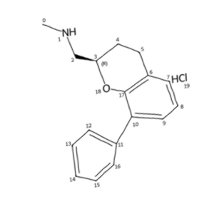 CNC[C@H]1CCc2cccc(-c3ccccc3)c2O1.Cl